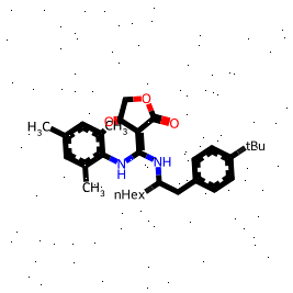 CCCCCCC(Cc1ccc(C(C)(C)C)cc1)NC(Nc1c(C)cc(C)cc1C)=C1C(=O)COC1=O